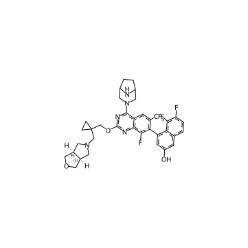 Oc1cc(-c2c(C(F)(F)F)cc3c(N4CC5CCC(C4)N5)nc(OCC4(CN5C[C@H]6COC[C@H]6C5)CC4)nc3c2F)c2c(F)c(F)ccc2c1